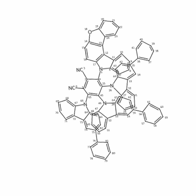 N#Cc1c(C#N)c(-n2c3ccccc3c3c4c(ccc32)oc2ccccc24)c(-n2c3ccccc3c3cc(-c4ccccc4)ccc32)c(-n2c3ccccc3c3cc(-c4ccccc4)ccc32)c1-n1c2ccccc2c2cc(-c3ccccc3)ccc21